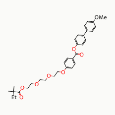 CCC(C)(C)C(=O)OCCOCCOCCOc1ccc(C(=O)Oc2ccc(-c3ccc(OC)cc3)cc2)cc1